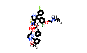 COc1ccccc1-c1nccc(COc2ccccc2C[C@@H](Oc2nsc3cnc(-c4cccc(F)c4)c(-c4ccc(OCCN(C)C)c(Cl)c4C)c23)C(=O)O)n1